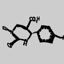 CCN1C=C(C(=O)O)[C@H](c2ccc(F)cc2)NC1=O